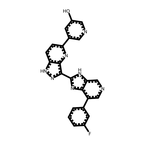 Oc1cncc(-c2ccc3[nH]nc(-c4nc5c(-c6cccc(F)c6)cncc5[nH]4)c3n2)c1